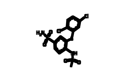 CS(=O)(=O)Nc1ccc(S(N)(=O)=O)cc1Sc1cc(Cl)ccc1Cl